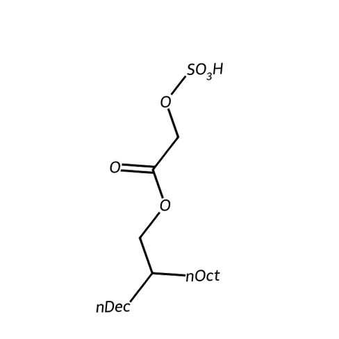 CCCCCCCCCCC(CCCCCCCC)COC(=O)COS(=O)(=O)O